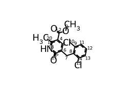 COC(=O)c1cc(Cc2c(Cl)cccc2Cl)c(=O)[nH]c1C